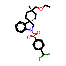 CCOC[C@]1(C)CC[C@]2(CC1)CN(S(=O)(=O)c1ccc(C(F)F)cc1)c1ccccc12